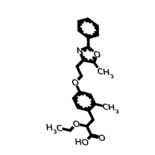 CCOC(Cc1ccc(OCCc2nc(-c3ccccc3)oc2C)cc1C)C(=O)O